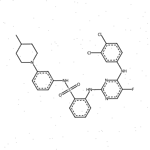 CC1CCN(c2cccc(NS(=O)(=O)c3ccccc3Nc3ncc(F)c(Nc4ccc(Cl)c(Cl)c4)n3)c2)CC1